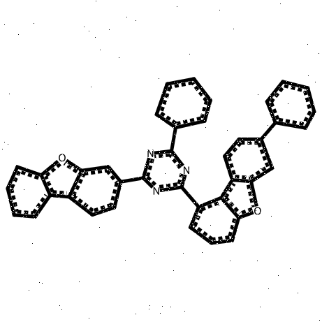 c1ccc(-c2ccc3c(c2)oc2cccc(-c4nc(-c5ccccc5)nc(-c5ccc6c(c5)oc5ccccc56)n4)c23)cc1